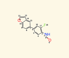 O=CNc1ccc(-c2ccc3occc3c2)cc1F